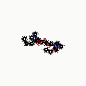 c1ccc(-c2cccc(-c3cccc(N(c4ccc5c(c4)oc4cc6c(cc45)oc4cc5c(cc46)oc4cc(N(c6cccc(-c7cccc(-c8ccccc8)c7)c6)c6cccc7c8ccccc8n(-c8ccccc8)c67)ccc45)c4cccc5c6ccccc6n(-c6ccccc6)c45)c3)c2)cc1